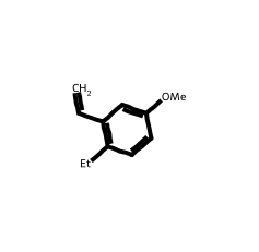 C=Cc1cc(OC)ccc1CC